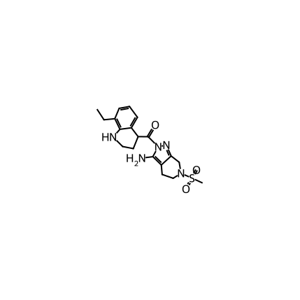 CCc1cccc2c1NCCC2C(=O)n1nc2c(c1N)CCN(S(C)(=O)=O)C2